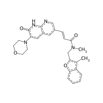 Cc1c(CN(C)C(=O)C=Cc2cnc3[nH]c(=O)c(N4CCOCC4)cc3c2)oc2ccccc12